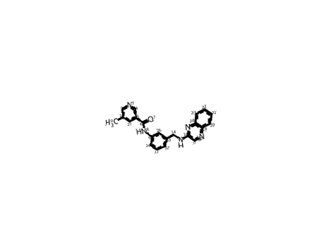 Cc1cncc(C(=O)Nc2cccc(CNc3cnc4ccccc4n3)c2)c1